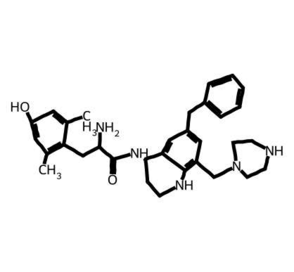 Cc1cc(O)cc(C)c1CC(N)C(=O)NC1CCNc2c(CN3CCNCC3)cc(Cc3ccccc3)cc21